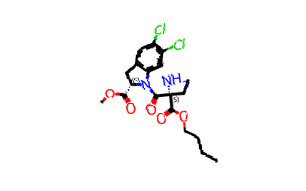 CCCCOC(=O)[C@](N)(CC)C(=O)N1c2cc(Cl)c(Cl)cc2C[C@H]1C(=O)OC